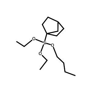 CCCCO[Si](OCC)(OCC)C12CCC(CC1)C2